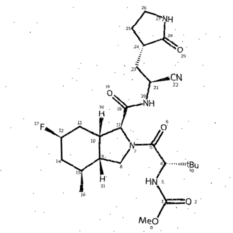 COC(=O)N[C@H](C(=O)N1C[C@H]2[C@H](C[C@H](F)C[C@@H]2C)[C@H]1C(=O)N[C@H](C#N)C[C@@H]1CCNC1=O)C(C)(C)C